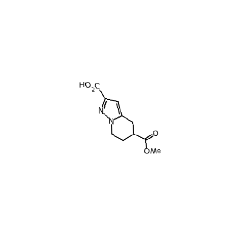 COC(=O)C1CCn2nc(C(=O)O)cc2C1